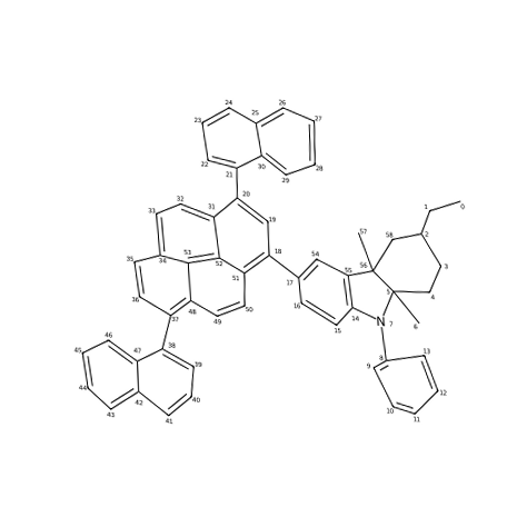 CCC1CCC2(C)N(c3ccccc3)c3ccc(-c4cc(-c5cccc6ccccc56)c5ccc6ccc(-c7cccc8ccccc78)c7ccc4c5c67)cc3C2(C)C1